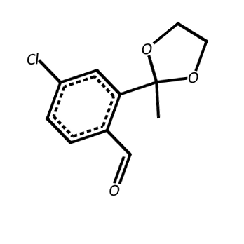 CC1(c2cc(Cl)ccc2C=O)OCCO1